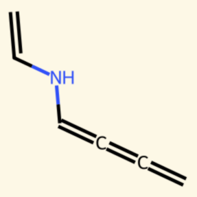 C=C=C=CNC=C